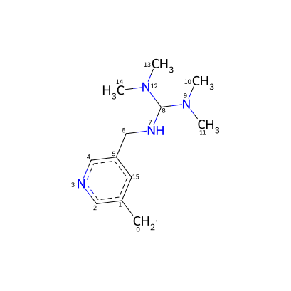 [CH2]c1cncc(CNC(N(C)C)N(C)C)c1